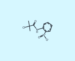 CC(C)(Cl)C(=O)Nc1ccccc1[N+](=O)[O-]